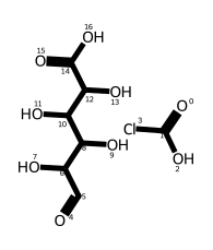 O=C(O)Cl.O=CC(O)C(O)C(O)C(O)C(=O)O